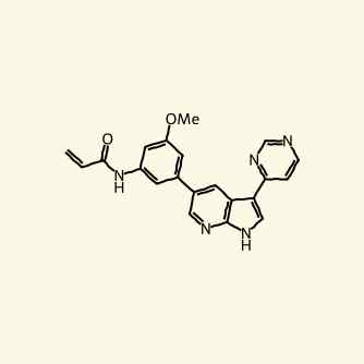 C=CC(=O)Nc1cc(OC)cc(-c2cnc3[nH]cc(-c4ccncn4)c3c2)c1